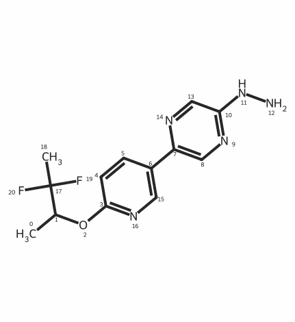 CC(Oc1ccc(-c2cnc(NN)cn2)cn1)C(C)(F)F